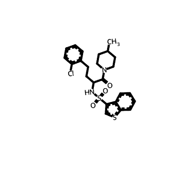 CC1CCN(C(=O)C(CCc2ccccc2Cl)NS(=O)(=O)c2csc3ccccc23)CC1